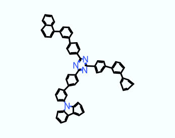 c1ccc(-c2cccc(-c3ccc(-c4nc(-c5ccc(-c6cccc(-c7cccc8ccccc78)c6)cc5)nc(-c5ccc(-c6cccc(-n7c8ccccc8c8ccccc87)c6)cc5)n4)cc3)c2)cc1